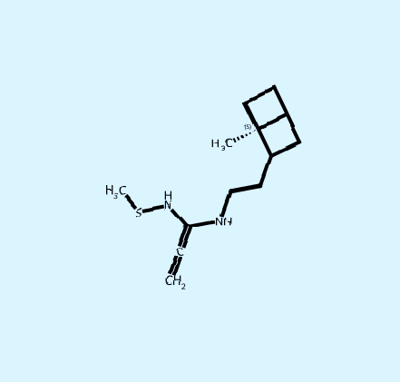 C=C=C(NCCC1CC2CC[C@]12C)NSC